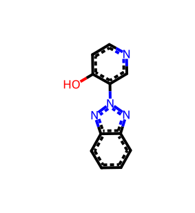 Oc1ccncc1-n1nc2ccccc2n1